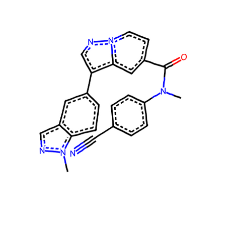 CN(C(=O)c1ccn2ncc(-c3ccc4c(cnn4C)c3)c2c1)c1ccc(C#N)cc1